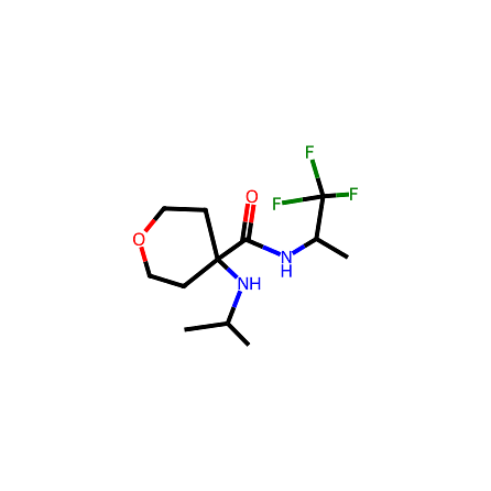 CC(C)NC1(C(=O)NC(C)C(F)(F)F)CCOCC1